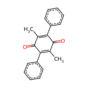 CC1=C(c2ccccc2)C(=O)C(C)=C(c2ccccc2)C1=O